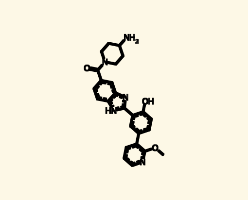 COc1ncccc1-c1ccc(O)c(-c2nc3cc(C(=O)N4CCC(N)CC4)ccc3[nH]2)c1